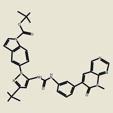 Cn1c(=O)c(-c2cccc(NC(=O)Nc3cc(C(C)(C)C)nn3-c3ccc4c(ccn4C(=O)OC(C)(C)C)c3)c2)cc2cncnc21